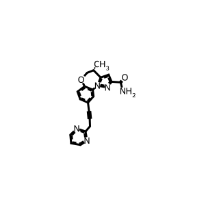 C[C@H]1COc2ccc(C#CCc3ncccn3)cc2-n2nc(C(N)=O)cc21